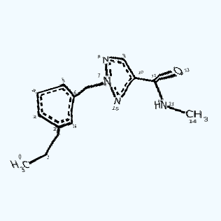 CCc1cccc(-n2ncc(C(=O)NC)n2)c1